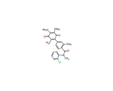 COC1=C(OC)C(=O)C(c2ccc(C(=O)N(C)c3cccnc3Cl)c(OC(C)=O)c2)=C(C)C1=O